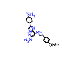 COc1ccc(CCNc2cc(N)nn3cc([C@H]4CC[C@H](N)CC4)nc23)cc1